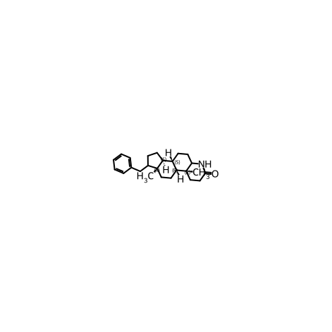 C[C@]12CCC(=O)NC1CC[C@@H]1[C@H]2CC[C@]2(C)C(Cc3ccccc3)CC[C@@H]12